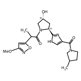 COc1cc(C(C)C(=O)N2C[C@H](O)C[C@H]2c2nc(C(=O)N3CCC(C)C3)c[nH]2)on1